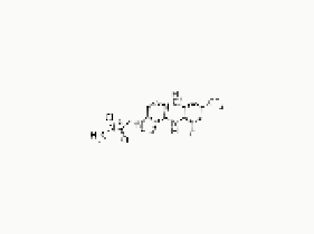 Cc1cc(C(F)(F)F)cc(Cl)c1Nc1nccc2c1ccn2CC(=O)N(C)C